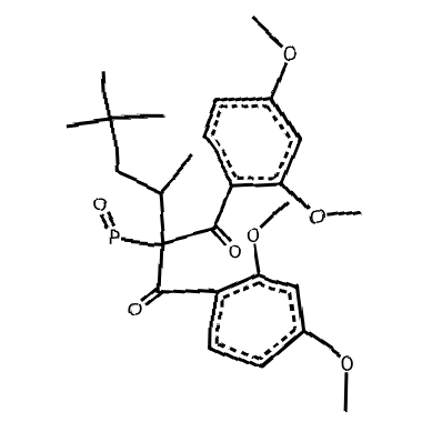 COc1ccc(C(=O)C(P=O)(C(=O)c2ccc(OC)cc2OC)C(C)CC(C)(C)C)c(OC)c1